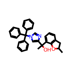 CC1Cc2cccc(C(C)(O)c3cn(C(c4ccccc4)(c4ccccc4)c4ccccc4)cn3)c2O1